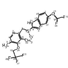 Cc1cnc(C[S@+]([O-])c2nc3cc(OC(F)F)ccc3[nH]2)c(C)c1OCC(F)(F)F